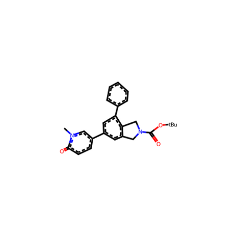 Cn1cc(-c2cc3c(c(-c4ccccc4)c2)CN(C(=O)OC(C)(C)C)C3)ccc1=O